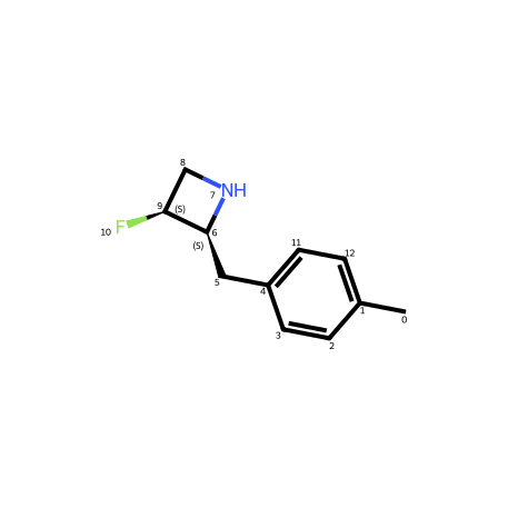 Cc1ccc(C[C@@H]2NC[C@@H]2F)cc1